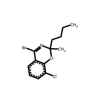 CCCCC1(C)N=C(Br)c2cccc(Cl)c2O1